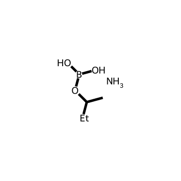 CCC(C)OB(O)O.N